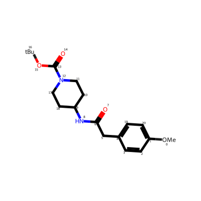 COc1ccc(CC(=O)NC2CCN(C(=O)OC(C)(C)C)CC2)cc1